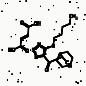 CCCCCSc1nsnc1C(=O)C1CN2CCC1CC2.O=C(O)/C=C/C(=O)O